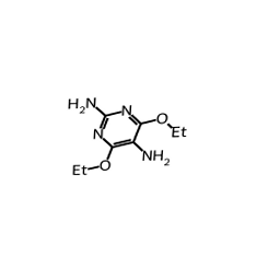 CCOc1nc(N)nc(OCC)c1N